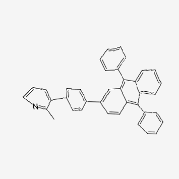 Cc1ncccc1-c1ccc(-c2ccc3c(-c4ccccc4)c4ccccc4c(-c4ccccc4)c3c2)cc1